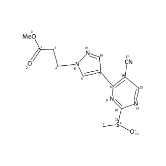 COC(=O)CCn1cc(-c2nc([S+](C)[O-])ncc2C#N)cn1